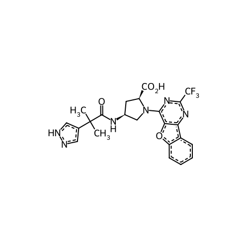 CC(C)(C(=O)N[C@H]1C[C@@H](C(=O)O)N(c2nc(C(F)(F)F)nc3c2oc2ccccc23)C1)c1cn[nH]c1